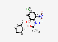 CC(=O)Nc1c(OCc2ccccc2)cc(Cl)cc1[N+](=O)[O-]